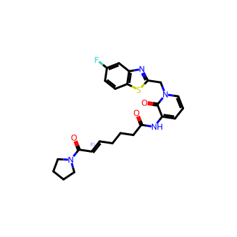 O=C(CCC/C=C/C(=O)N1CCCC1)Nc1cccn(Cc2nc3cc(F)ccc3s2)c1=O